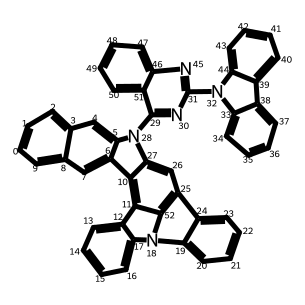 c1ccc2cc3c(cc2c1)c1c2c4ccccc4n4c5ccccc5c(cc1n3-c1nc(-n3c5ccccc5c5ccccc53)nc3ccccc13)c24